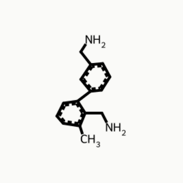 Cc1cccc(-c2cccc(CN)c2)c1CN